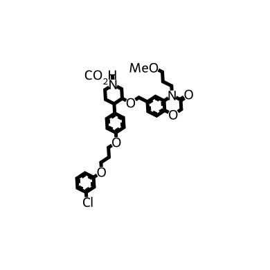 COCCCN1C(=O)COc2ccc(COC3CN(C(=O)O)CCC3c3ccc(OCCCOc4cccc(Cl)c4)cc3)cc21